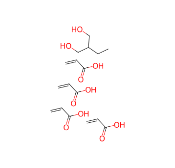 C=CC(=O)O.C=CC(=O)O.C=CC(=O)O.C=CC(=O)O.CCC(CO)CO